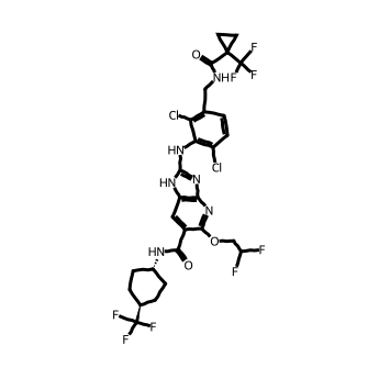 O=C(N[C@H]1CC[C@H](C(F)(F)F)CC1)c1cc2[nH]c(Nc3c(Cl)ccc(CNC(=O)C4(C(F)(F)F)CC4)c3Cl)nc2nc1OCC(F)F